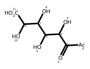 CC(=O)C(=O)C(O)C(O)C(O)C(O)C(=O)O